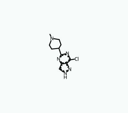 CN1CCC(c2nc(Cl)c3n[nH]cc3n2)CC1